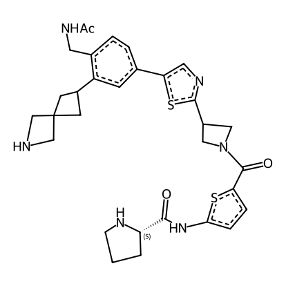 CC(=O)NCc1ccc(-c2cnc(C3CN(C(=O)c4ccc(NC(=O)[C@@H]5CCCN5)s4)C3)s2)cc1C1CC2(CNC2)C1